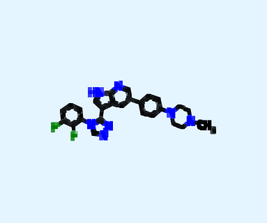 CN1CCN(c2ccc(-c3cnc4[nH]cc(-c5nncn5-c5cccc(F)c5F)c4c3)cc2)CC1